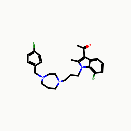 CC(=O)c1c(C)n(CCCN2CCCN(Cc3ccc(F)cc3)CC2)c2c(Br)cccc12